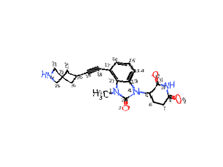 Cn1c(=O)n(C2CCC(=O)NC2=O)c2cccc(C#CC3CC4(CNC4)C3)c21